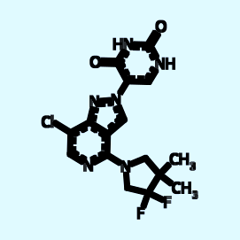 CC1(C)CN(c2ncc(Cl)c3nn(-c4c[nH]c(=O)[nH]c4=O)cc23)CC1(F)F